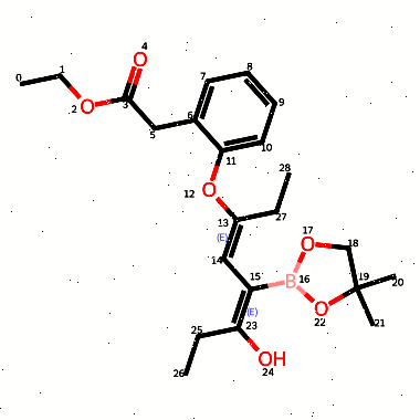 CCOC(=O)Cc1ccccc1O/C(=C/C(B1OCC(C)(C)O1)=C(/O)CC)CC